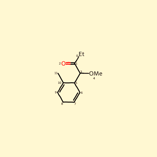 CCC(=O)C(OC)C1C=CCC=C1C